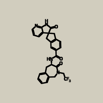 O=C(N[C@@H]1Cc2ccccc2CN(CC(F)(F)F)C1=O)c1ccc2c(c1)CC1(C2)C(=O)Nc2ncccc21